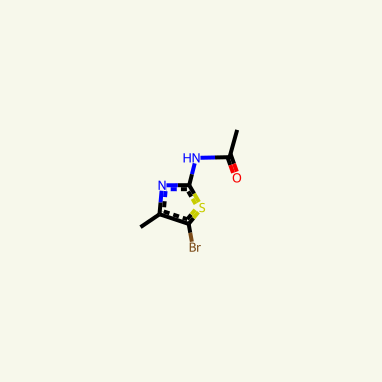 CC(=O)Nc1nc(C)c(Br)s1